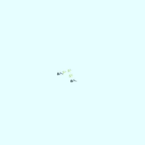 [Bi+3].[Bi+3].[S-2].[S-2].[S-2]